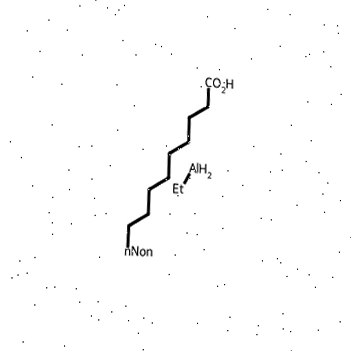 CCCCCCCCCCCCCCCCCC(=O)O.C[CH2][AlH2]